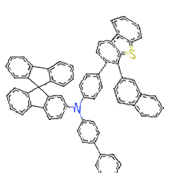 c1ccc(-c2ccc(N(c3ccc(-c4ccc5c(sc6ccccc65)c4-c4ccc5ccccc5c4)cc3)c3ccc4c(c3)C3(c5ccccc5-c5ccccc53)c3ccccc3-4)cc2)cc1